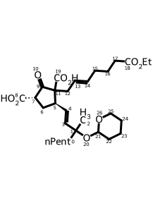 CCCCCC(C)(C=C[C@H]1C[C@H](C(=O)O)C(=O)C1(CC=CCCCC(=O)OCC)C(=O)O)OC1CCCCO1